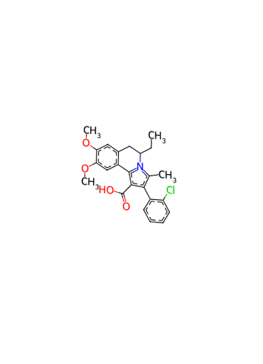 CCC1Cc2cc(OC)c(OC)cc2-c2c(C(=O)O)c(-c3ccccc3Cl)c(C)n21